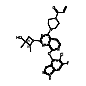 C=CC(=O)N1CCN(c2nc(N3C[C@@](C)(O)[C@@H]3C)nc3c(Oc4c(Cl)c(F)cc5[nH]ncc45)nccc23)CC1